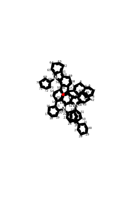 CC1(c2ccc3ccccc3c2)c2cc(-c3ccccc3N(c3ccc(-c4ccccc4)cc3)c3cccc4c5ccccc5n(-c5ccccc5)c34)ccc2-c2c1ccc1c3ccccc3n(-c3ccccc3)c21